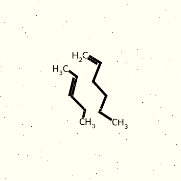 C/C=C/CC.C=CCCCC